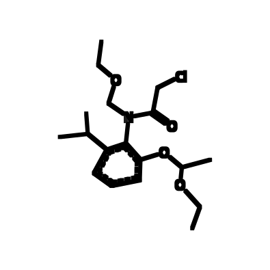 CCOCN(C(=O)CCl)c1c(OC(C)OCC)cccc1C(C)C